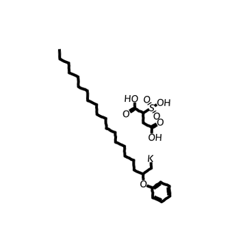 CCCCCCCCCCCCCCCCCCC([CH2][K])Oc1ccccc1.O=C(O)CC(C(=O)O)S(=O)(=O)O